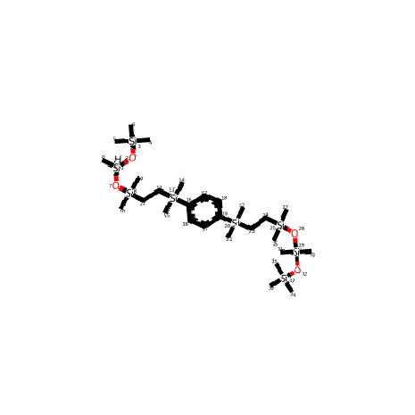 C[SiH](O[Si](C)(C)C)O[Si](C)(C)CC[Si](C)(C)c1ccc([Si](C)(C)CC[Si](C)(C)O[Si](C)(C)O[Si](C)(C)C)cc1